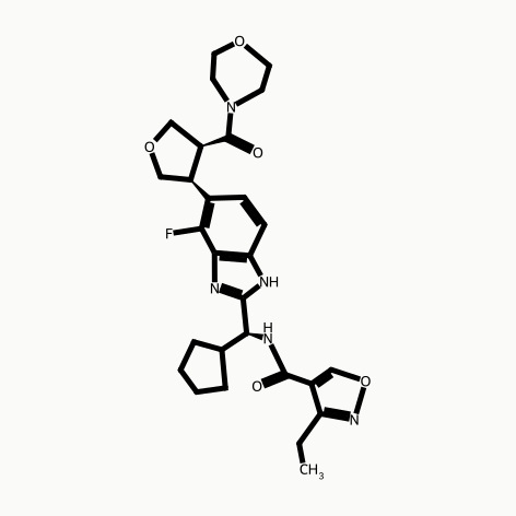 CCc1nocc1C(=O)N[C@H](c1nc2c(F)c([C@H]3COC[C@H]3C(=O)N3CCOCC3)ccc2[nH]1)C1CCCC1